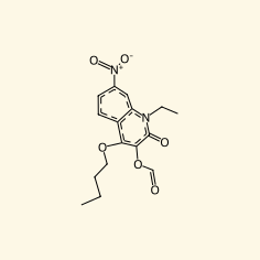 CCCCOc1c(OC=O)c(=O)n(CC)c2cc([N+](=O)[O-])ccc12